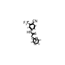 N#Cc1ccc(NC(=S)SC2CN3CCN2CC3)cc1C(F)(F)F